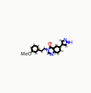 COc1cccc(CCn2cnc3ccc(-c4cn[nH]c4)cc3c2=O)c1